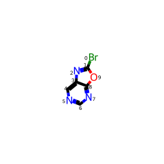 Brc1nc2cncnc2o1